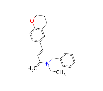 C=C(/C=C/c1ccc2c(c1)CCCO2)N(CC)Cc1ccccc1